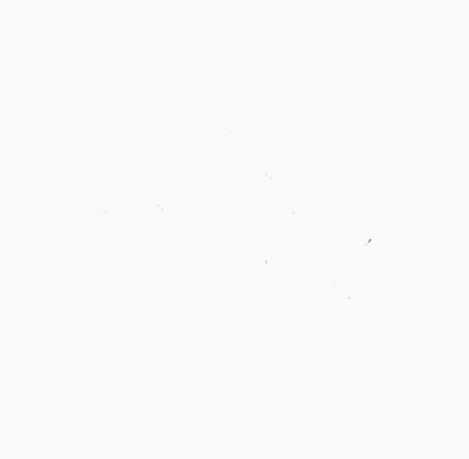 C[C@H]1CN2CCCC2(COc2nc3c4c(c(Cl)c(-c5ccc(F)c6sc(N)c(C#N)c56)c(F)c4n2)OCC2C(N)CCCCN32)C1